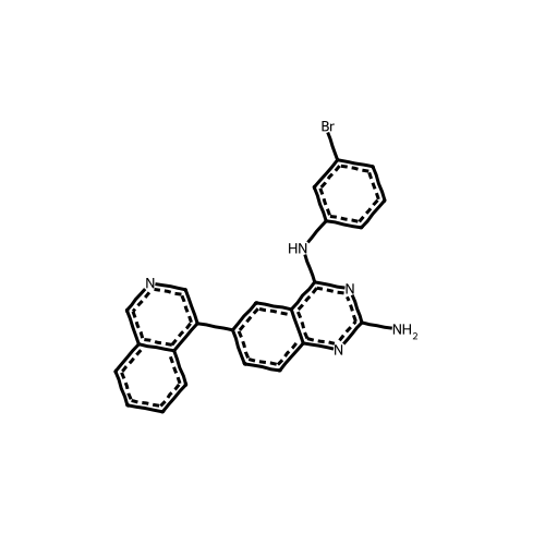 Nc1nc(Nc2cccc(Br)c2)c2cc(-c3cncc4ccccc34)ccc2n1